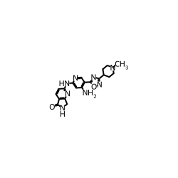 CN1CCC(c2noc(-c3cnc(Nc4ccc5c(n4)CNC5=O)cc3N)n2)CC1